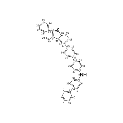 c1ccc(-c2ccc(Nc3ccc(-c4ccc(-c5ccc6sc7c8ccccc8ccc7c6c5)cc4)cc3)cc2)cc1